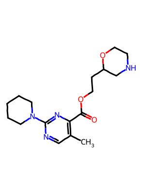 Cc1cnc(N2CCCCC2)nc1C(=O)OCCC1CNCCO1